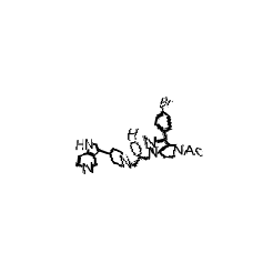 CC(=O)N1CCc2c(c(-c3ccc(Br)cc3)nn2CC(O)CN2CCC(c3c[nH]c4ccncc34)CC2)C1